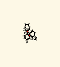 O=C(c1ccc2ncsc2c1)N1C2CCC1CC(c1ccc(F)cc1)C2